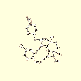 C[C@@]1(Cl)CS[C@@H]2[C@H](N)C(=O)N2[C@H]1C(=O)OCc1ccc([N+](=O)[O-])cc1.Cc1ccc(S(=O)(=O)O)cc1